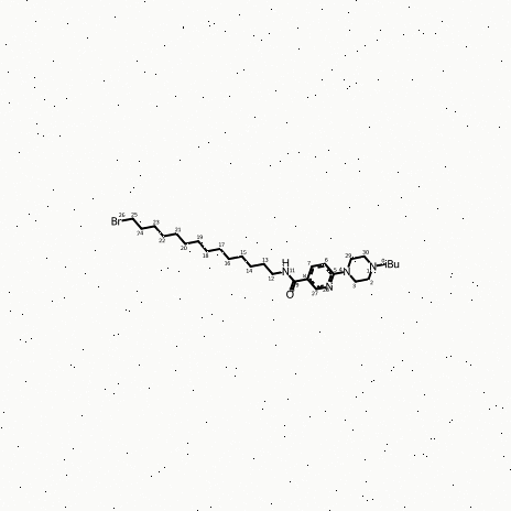 CCC(C)N1CCN(c2ccc(C(=O)NCCCCCCCCCCCCCCBr)cn2)CC1